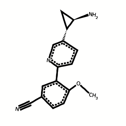 COc1ccc(C#N)cc1-c1ccc([C@@H]2C[C@H]2N)cn1